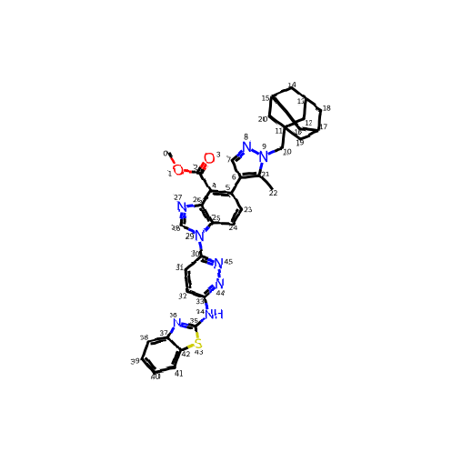 COC(=O)c1c(-c2cnn(CC34CC5CC(CC(C5)C3)C4)c2C)ccc2c1ncn2-c1ccc(Nc2nc3ccccc3s2)nn1